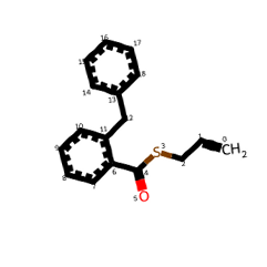 C=CCSC(=O)c1ccccc1Cc1ccccc1